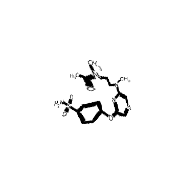 CC(=O)N(C)CCN(C)c1cncc(Oc2ccc(S(N)(=O)=O)cc2)n1